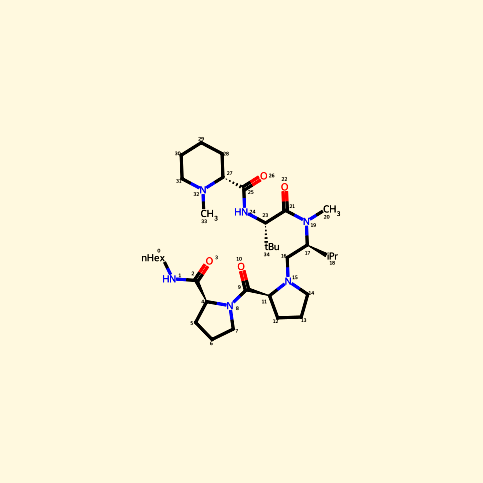 CCCCCCNC(=O)[C@@H]1CCCN1C(=O)[C@@H]1CCCN1C[C@H](C(C)C)N(C)C(=O)[C@@H](NC(=O)[C@H]1CCCCN1C)C(C)(C)C